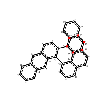 c1ccc(-c2ccc3cc4ccccc4cc3c2-c2cccc3ccc4cc5ccccc5cc4c23)cc1